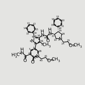 CNC(=O)c1cc(-c2nn(-c3ccccc3)c(NC(=O)N[C@@H]3CN(CCOC)C[C@H]3c3ccccc3)c2C)cn(CCOC)c1=O